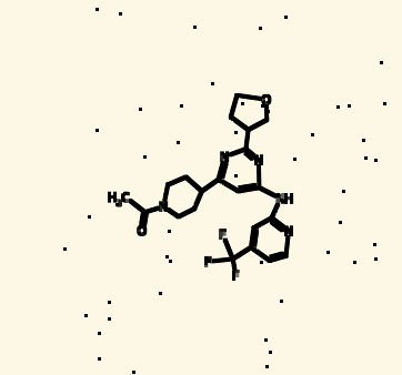 CC(=O)N1CCC(c2cc(Nc3cc(C(F)(F)F)ccn3)nc(C3CCOC3)n2)CC1